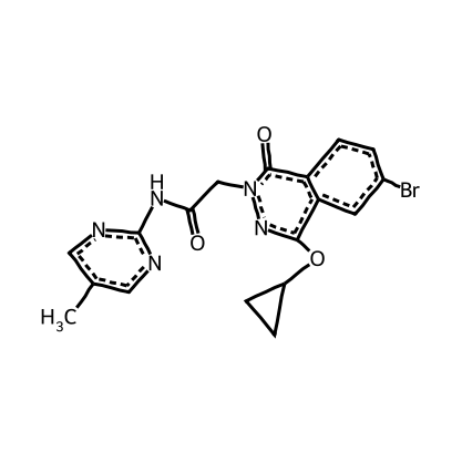 Cc1cnc(NC(=O)Cn2nc(OC3CC3)c3cc(Br)ccc3c2=O)nc1